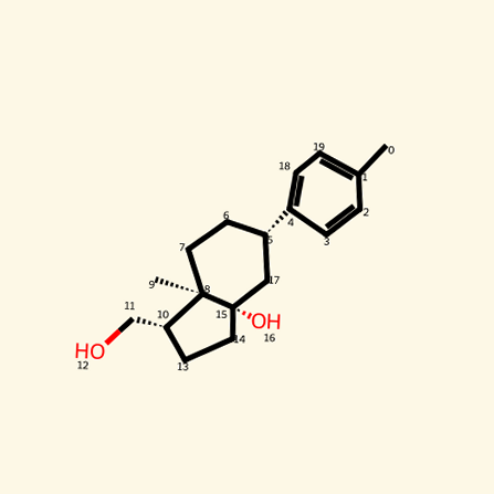 Cc1ccc([C@H]2CC[C@]3(C)[C@@H](CO)CC[C@]3(O)C2)cc1